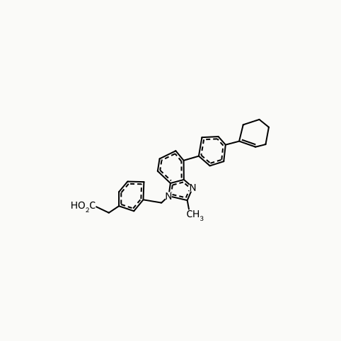 Cc1nc2c(-c3ccc(C4=CCCCC4)cc3)cccc2n1Cc1cccc(CC(=O)O)c1